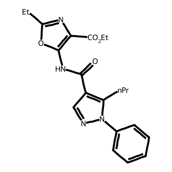 CCCc1c(C(=O)Nc2oc(CC)nc2C(=O)OCC)cnn1-c1ccccc1